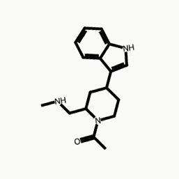 CNCC1CC(c2c[nH]c3ccccc23)CCN1C(C)=O